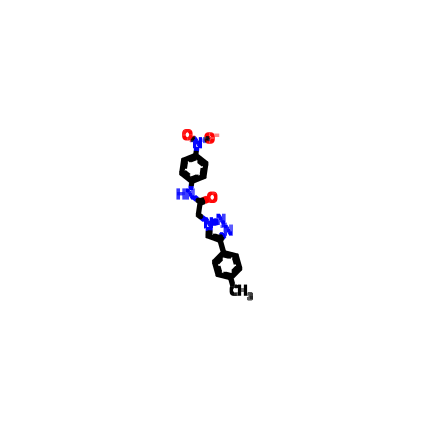 Cc1ccc(-c2cn(CC(=O)Nc3ccc([N+](=O)[O-])cc3)nn2)cc1